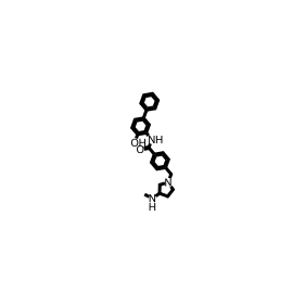 CNC1CCN(Cc2ccc(C(=O)Nc3cc(-c4ccccc4)ccc3O)cc2)C1